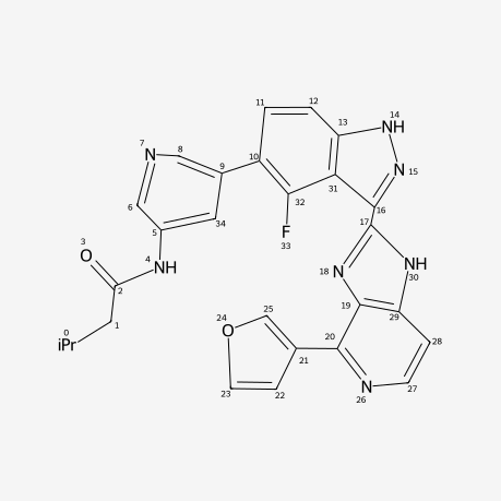 CC(C)CC(=O)Nc1cncc(-c2ccc3[nH]nc(-c4nc5c(-c6ccoc6)nccc5[nH]4)c3c2F)c1